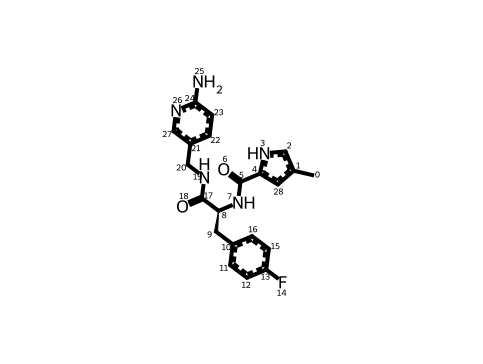 Cc1c[nH]c(C(=O)N[C@@H](Cc2ccc(F)cc2)C(=O)NCc2ccc(N)nc2)c1